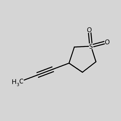 CC#CC1CCS(=O)(=O)C1